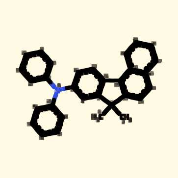 CC1(C)c2cc(N(c3ccccc3)c3ccccc3)ccc2-c2c1ccc1ccccc21